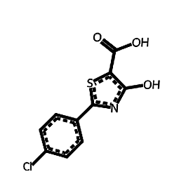 O=C(O)c1sc(-c2ccc(Cl)cc2)nc1O